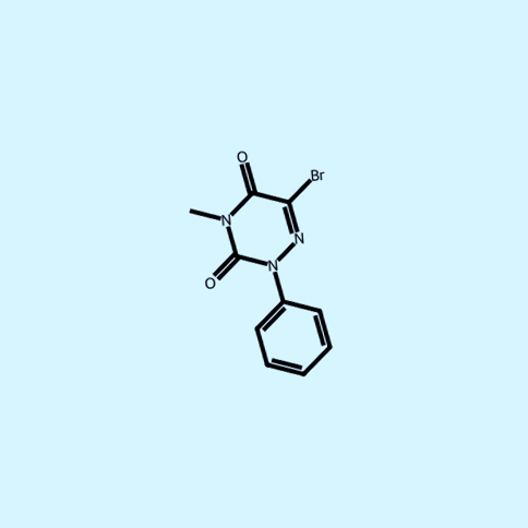 Cn1c(=O)c(Br)nn(-c2ccccc2)c1=O